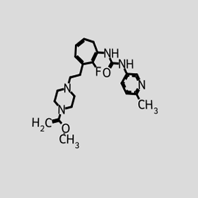 C=C(OC)N1CCN(CCC2=CC=CCC(NC(=O)Nc3ccc(C)nc3)=C2F)CC1